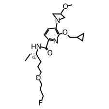 CC[C@@H](CCCOCCCF)NC(=O)c1ccc(N2CC(OC)C2)c(OCC2CC2)n1